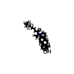 CC(C)/C(C(=O)CCCO[Si](C)(C)C(C)(C)C)=C1/CCC[C@]2(C)[C@@H]1CC[C@@H]1[C@@]3(C)CC[C@H](O)C(C)(C)[C@@H]3CC[C@]12C